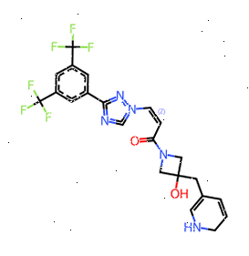 O=C(/C=C\n1cnc(-c2cc(C(F)(F)F)cc(C(F)(F)F)c2)n1)N1CC(O)(CC2=CNCC=C2)C1